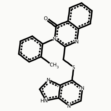 Cc1ccccc1-n1c(CSc2ncnc3[nH]cnc23)nc2ccccc2c1=O